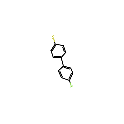 Fc1ccc(-c2ccc(S)cc2)cc1